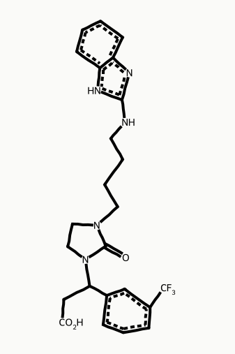 O=C(O)CC(c1cccc(C(F)(F)F)c1)N1CCN(CCCCNc2nc3ccccc3[nH]2)C1=O